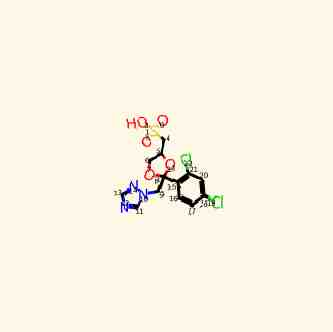 O=S(=O)(O)CC1COC(Cn2cncn2)(c2ccc(Cl)cc2Cl)O1